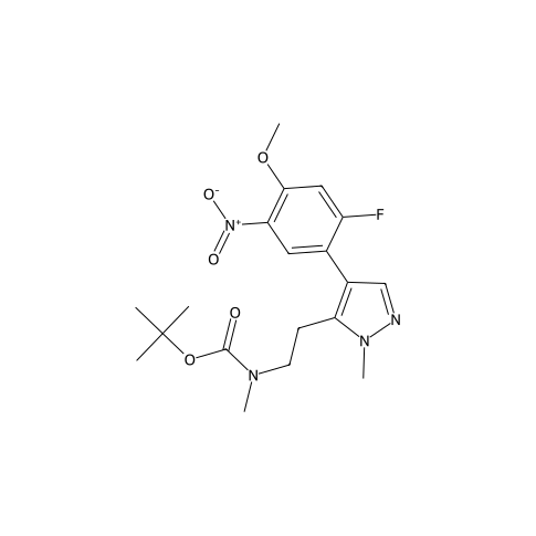 COc1cc(F)c(-c2cnn(C)c2CCN(C)C(=O)OC(C)(C)C)cc1[N+](=O)[O-]